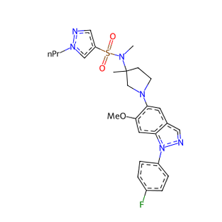 CCCn1cc(S(=O)(=O)N(C)C2(C)CCN(c3cc4cnn(-c5ccc(F)cc5)c4cc3OC)C2)cn1